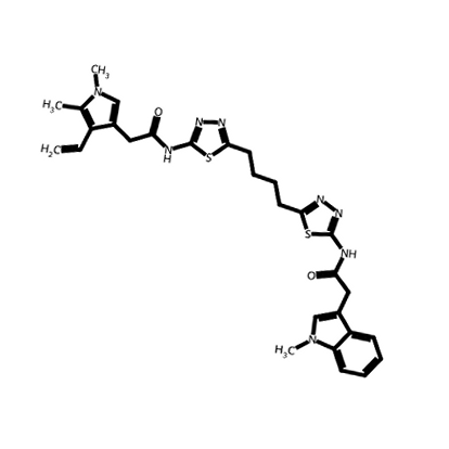 C=Cc1c(CC(=O)Nc2nnc(CCCCc3nnc(NC(=O)Cc4cn(C)c5ccccc45)s3)s2)cn(C)c1C